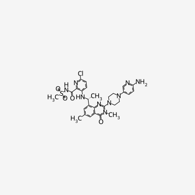 Cc1cc([C@@H](C)Nc2ccc(Cl)nc2C(=O)NS(C)(=O)=O)c2nc(N3CCN(c4ccc(N)nc4)CC3)n(C)c(=O)c2c1